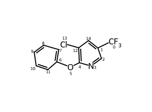 FC(F)(F)c1cnc(Oc2ccccc2)c(Cl)c1